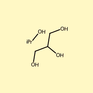 CC(C)O.OCC(O)CO